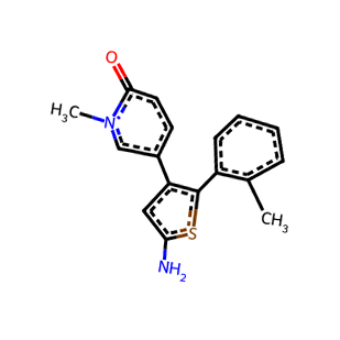 Cc1ccccc1-c1sc(N)cc1-c1ccc(=O)n(C)c1